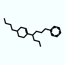 CCCCC1CC=C(C(CCC)CCCc2ccccc2)CC1